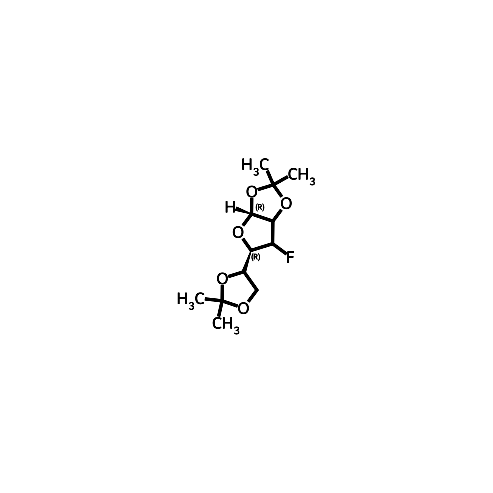 CC1(C)OCC([C@H]2O[C@@H]3OC(C)(C)OC3C2F)O1